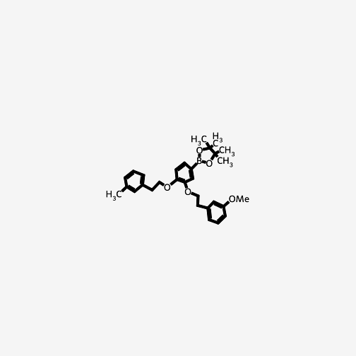 COc1cccc(CCOc2cc(B3OC(C)(C)C(C)(C)O3)ccc2OCCc2cccc(C)c2)c1